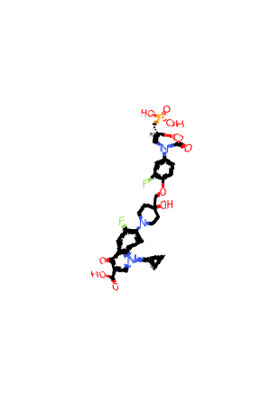 O=C(O)c1cn(C2CC2)c2cc(N3CCC(O)(COc4ccc(N5C[C@H](CP(=O)(O)O)OC5=O)cc4F)CC3)c(F)cc2c1=O